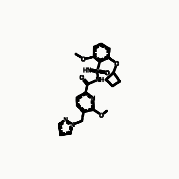 COc1cccc(OC2CCC2)c1S(=N)(=O)NC(=O)c1ccc(Cn2cccn2)c(OC)n1